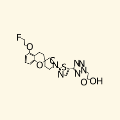 O=C(O)Cn1nnc(-c2cnc(N3CCC4(CCc5c(OCCF)cccc5O4)CC3)s2)n1